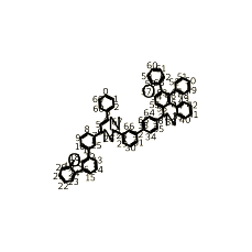 c1ccc(-c2cc(-c3cccc(-c4cccc5c4oc4ccccc45)c3)nc(-c3cccc(-c4ccc(-c5nc6ccccc6c6c(-c7ccccc7)c7c(cc56)oc5ccccc57)cc4)c3)n2)cc1